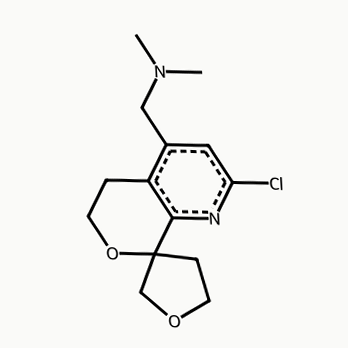 CN(C)Cc1cc(Cl)nc2c1CCOC21CCOC1